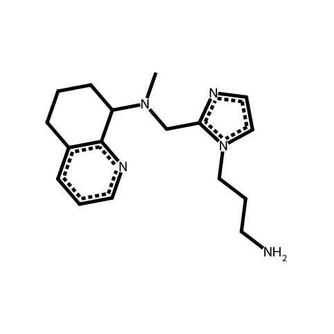 CN(Cc1nccn1CCCN)C1CCCc2cccnc21